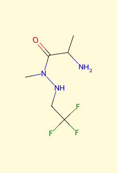 CC(N)C(=O)N(C)NCC(F)(F)F